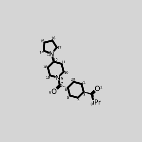 CC(C)C(=O)[C@H]1CC[C@H](C(=O)N2CCC(N3CCCC3)CC2)CC1